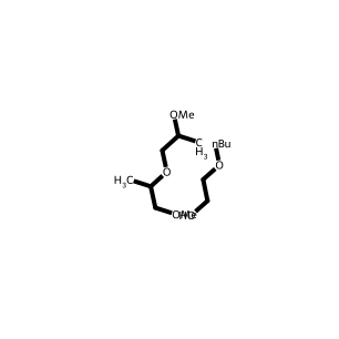 CCCCOCCO.COCC(C)OCC(C)OC